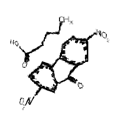 CCCCC(=O)O.O=C1c2cc([N+](=O)[O-])ccc2-c2ccc([N+](=O)[O-])cc21